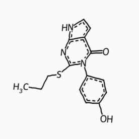 CCCSc1nc2[nH]ccc2c(=O)n1-c1ccc(O)cc1